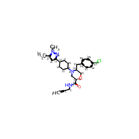 C#CCNC(=O)C1CN(C2CCC(c3cc(C)n(C)n3)CC2)C(Cc2ccc(Cl)cc2)CO1